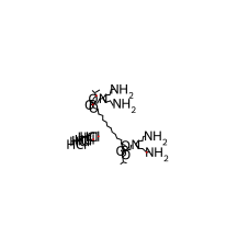 CC(C)COP(=O)(CCN(CCCN)CCCN)OCCCCCCCCCCCCOP(=O)(CCN(CCCN)CCCN)OCC(C)C.Cl.Cl.Cl.Cl.Cl.Cl